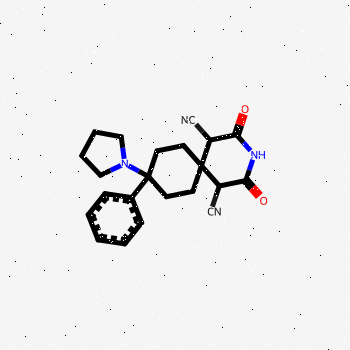 N#CC1C(=O)NC(=O)C(C#N)C12CCC(c1ccccc1)(N1CCCC1)CC2